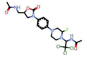 CC(=O)NCC1CN(c2ccc(N3CCN(C(NC(C)=O)C(Cl)(Cl)Cl)C(F)C3)cc2)C(=O)O1